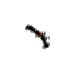 CC1C=C(OCCOCCN2C(=O)CCC2=O)NC1C(=O)NCC(=O)Nc1ccc(COC(=O)Oc2ccc([N+](=O)[O-])cc2)cc1